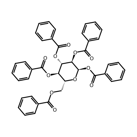 O=C(OC[C@H]1O[C@H](OC(=O)c2ccccc2)[C@H](OC(=O)c2ccccc2)[C@@H](OC(=O)c2ccccc2)[C@@H]1OC(=O)c1ccccc1)c1ccccc1